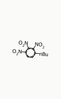 CCCCc1ccc([N+](=O)[O-])c([N+](=O)[O-])c1[N+](=O)[O-]